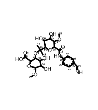 COC1OC(C(=O)O)C(OC(C)(C)C2OC(C(=O)Nc3ccc(C=N)cc3)C(OC)C(O)C2O)C(O)C1O